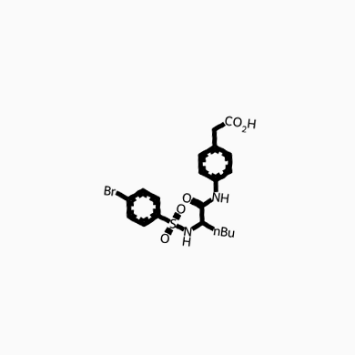 CCCCC(NS(=O)(=O)c1ccc(Br)cc1)C(=O)Nc1ccc(CC(=O)O)cc1